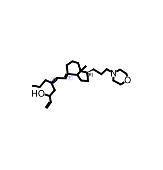 C=CC(O)C/C(=C\C=C1/CCCC2(C)C1CC[C@@H]2CCCN1CCOCC1)CCC